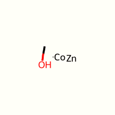 CO.[Co].[Zn]